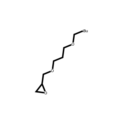 CCC(C)COCCCOCC1CO1